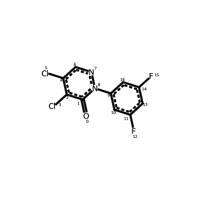 O=c1c(Cl)c(Cl)cnn1-c1cc(F)cc(F)c1